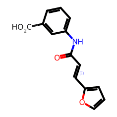 O=C(/C=C/c1ccco1)Nc1cccc(C(=O)O)c1